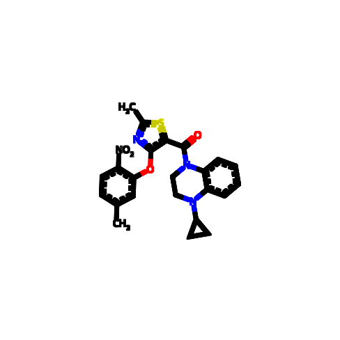 Cc1ccc([N+](=O)[O-])c(Oc2nc(C)sc2C(=O)N2CCN(C3CC3)c3ccccc32)c1